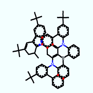 CC1CC(C(C)(C)C)=Cc2c1n(C1C=C3C4=C(C1)N(c1ccc(C(C)(C)C)cc1-c1ccccc1)c1ccccc1B4c1ccccc1N3c1ccc(C(C)(C)C)cc1-c1ccccc1)c1ccc(C(C)(C)C)cc21